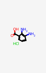 Cl.Nc1cccc(C(=O)O)c1N